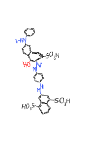 O=S(=O)(O)c1cc2cc(Nc3ccccc3)ccc2c(O)c1N=Nc1ccc(N=Nc2cc(S(=O)(=O)O)c3cccc(S(=O)(=O)O)c3c2)cc1